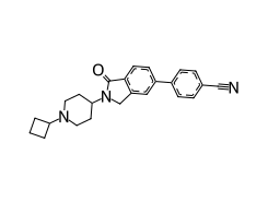 N#Cc1ccc(-c2ccc3c(c2)CN(C2CCN(C4CCC4)CC2)C3=O)cc1